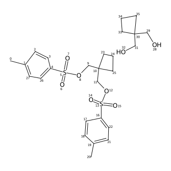 Cc1ccc(S(=O)(=O)OCC2(COS(=O)(=O)c3ccc(C)cc3)CCC2)cc1.OCC1(CO)CCC1